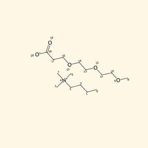 CCCC[N+](C)(C)C.COCCOCCOCCC(=O)[O-]